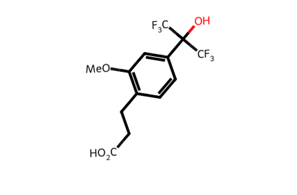 COc1cc(C(O)(C(F)(F)F)C(F)(F)F)ccc1CCC(=O)O